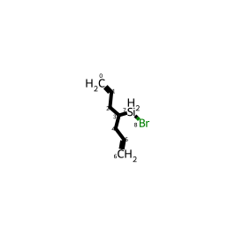 C=CCC(CC=C)[SiH2]Br